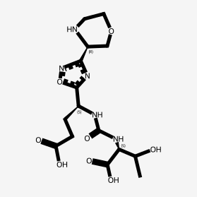 CC(O)[C@H](NC(=O)N[C@@H](CCC(=O)O)c1nc([C@@H]2COCCN2)no1)C(=O)O